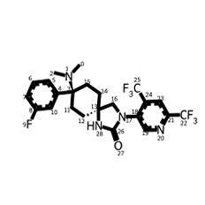 CN(C)[C@]1(c2cccc(F)c2)CC[C@]2(CC1)CN(c1cnc(C(F)(F)F)cc1C(F)(F)F)C(=O)N2